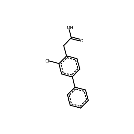 O=C(O)Cc1ccc(-c2ccccc2)cc1Cl